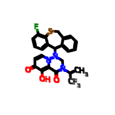 CC(N1CN(C2c3ccccc3CSc3c(F)cccc32)n2ccc(=O)c(O)c2C1=O)C(F)(F)F